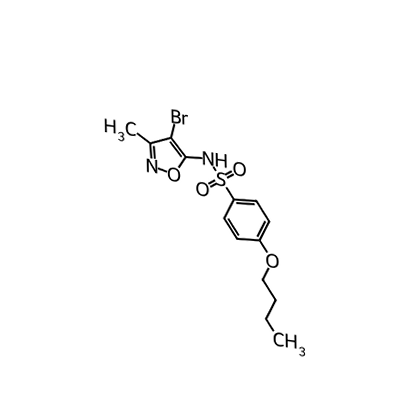 CCCCOc1ccc(S(=O)(=O)Nc2onc(C)c2Br)cc1